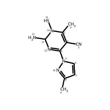 CC1=C(C#N)C(n2ccc(C)n2)=NC(N)N1S